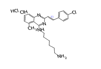 Cc1cccc2nc(/C=C/c3ccc(Cl)cc3)nc(NCCCCCCN)c12.Cl.Cl